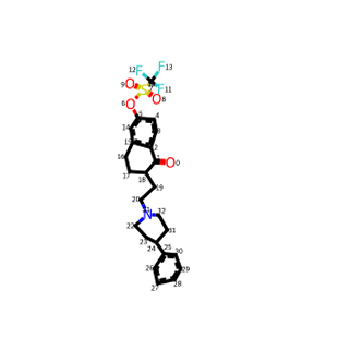 O=C1c2ccc(OS(=O)(=O)C(F)(F)F)cc2CCC1CCN1CCC(c2ccccc2)CC1